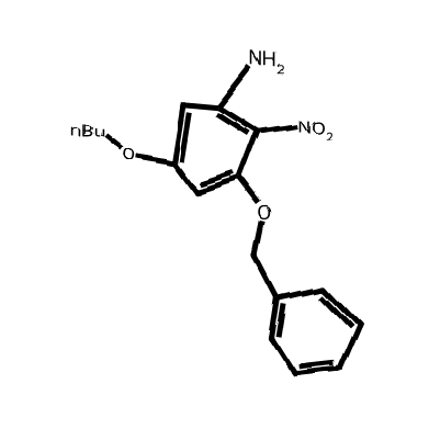 CCCCOc1cc(N)c([N+](=O)[O-])c(OCc2ccccc2)c1